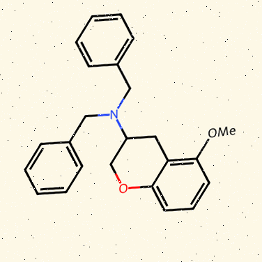 COc1cccc2c1CC(N(Cc1ccccc1)Cc1ccccc1)CO2